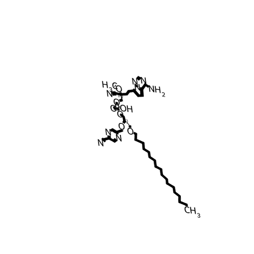 CCCCCCCCCCCCCCCCCCOC[C@@H](COP(=O)(O)OC[C@](C#N)(CCc1ccc2c(N)ncnn12)OC)OCc1cnc(C#N)cn1